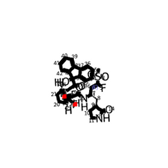 CS(=O)(=O)/C(F)=C/[C@H](C[C@@H]1CCNC1=O)NC(=O)[C@H]1[C@H]2CC[C@H](CC2(F)F)N1C(=O)C1(O)c2ccccc2-c2ccccc21